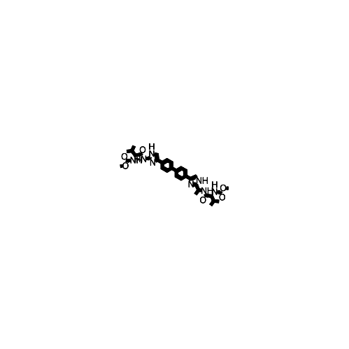 COC(=O)N[C@H](C(=O)Nc1nc(-c2ccc(-c3ccc(-c4c[nH]c(C(C)NC(=O)[C@@H](NC(=O)OC)C(C)C)n4)cc3)cc2)c[nH]1)C(C)C